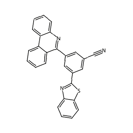 N#Cc1cc(-c2nc3ccccc3s2)cc(-c2nc3ccccc3c3ccccc23)c1